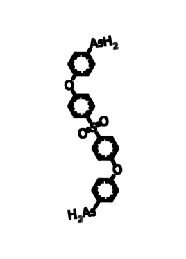 O=S(=O)(c1ccc(Oc2ccc([AsH2])cc2)cc1)c1ccc(Oc2ccc([AsH2])cc2)cc1